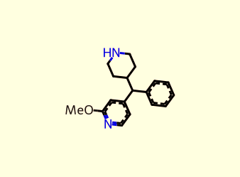 COc1cc(C(c2ccccc2)C2CCNCC2)ccn1